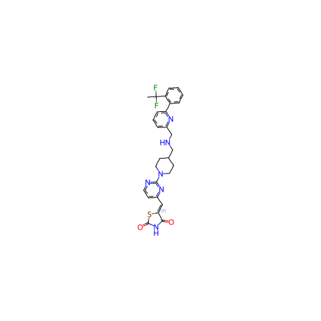 CC(F)(F)c1ccccc1-c1cccc(CNCC2CCN(c3nccc(/C=C4\SC(=O)NC4=O)n3)CC2)n1